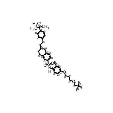 CC(C)(C)c1ccc(CCN2CCc3cc(S(=O)(=O)Nc4ccc(OCCCOCC(F)(F)F)cc4F)ccc3C2)cc1